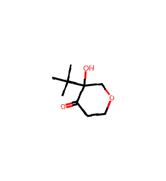 CC(C)(C)C1(O)COCCC1=O